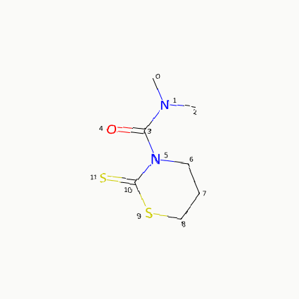 CN(C)C(=O)N1CCCSC1=S